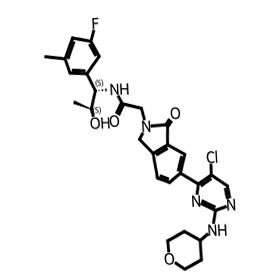 Cc1cc(F)cc([C@H](NC(=O)CN2Cc3ccc(-c4nc(NC5CCOCC5)ncc4Cl)cc3C2=O)[C@H](C)O)c1